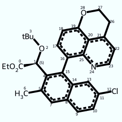 CCOC(=O)[C@@H](OC(C)(C)C)c1c(C)cc2ccc(Cl)cc2c1-c1ccc2c3c(ccnc13)CCO2